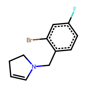 Fc1ccc(CN2C=CCC2)c(Br)c1